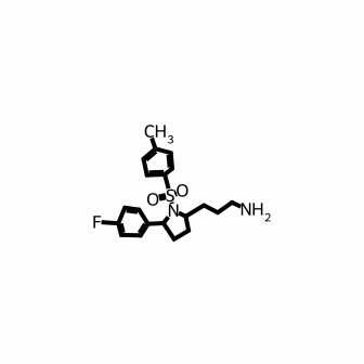 Cc1ccc(S(=O)(=O)N2C(CCCN)CCC2c2ccc(F)cc2)cc1